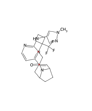 Cn1cc(Nc2nccc(C3=CC4CCC(C3)N4C(=O)CCC3(C(F)(F)F)CCC3)n2)cn1